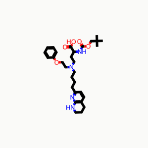 CC(C)(C)COC(=O)NC(CCN(CCCCc1ccc2c(n1)NCCC2)CCOc1ccccc1)C(=O)O